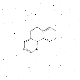 c1ccc2c(c1)CCc1cncnc1-2